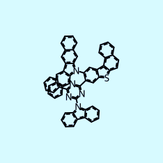 c1ccc(-c2nc(-c3cc4sc5ccc6ccccc6c5c4cc3-n3c4cc5ccccc5cc4c4cc5ccccc5cc43)nc(-n3c4ccccc4c4ccccc43)n2)cc1